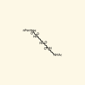 CCCCCNC(=O)CCC(=O)NCCCCCNC(=O)CCC(=O)NCCCCCNC(C)=O